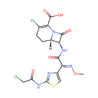 CON=C(C(=O)N[C@@H]1C(=O)N2C(C(=O)O)=C(Cl)CC[C@@H]12)c1csc(NC(=O)CCl)n1